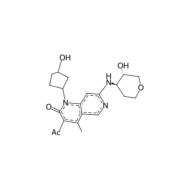 CC(=O)c1c(C)c2cnc(N[C@@H]3CCOC[C@H]3O)cc2n(C2CCC(O)C2)c1=O